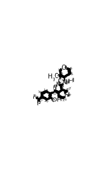 CC1(C)COCC[C@H]1Nc1nnc(-c2ccc(C(F)F)cc2O)c2ccncc12